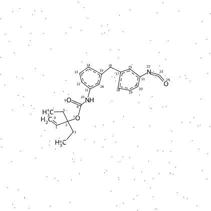 C=CC(CC)(CC)OC(=O)Nc1cccc(Cc2cccc(N=C=O)c2)c1